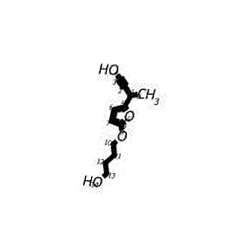 CC(C#CO)c1ccc(OCCCCO)o1